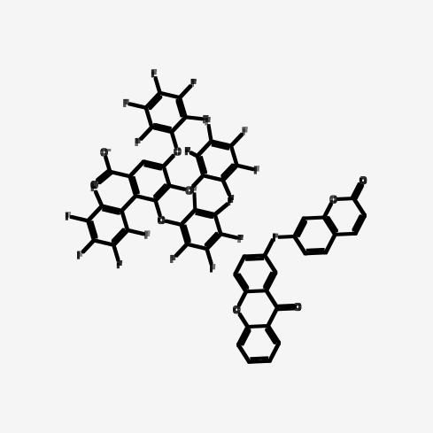 O=C([O-])c1cc(Oc2c(F)c(F)c(F)c(F)c2F)c(Oc2c(F)c(F)c(F)c(F)c2F)c(Oc2c(F)c(F)c(F)c(F)c2F)c1-c1c(F)c(F)c(F)c(F)c1F.O=c1ccc2ccc([I+]c3ccc4oc5ccccc5c(=O)c4c3)cc2o1